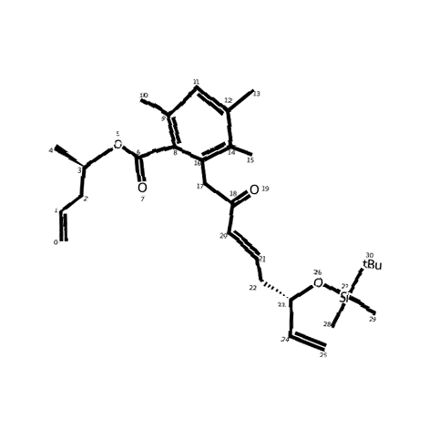 C=CC[C@@H](C)OC(=O)c1c(C)cc(C)c(C)c1CC(=O)/C=C/C[C@@H](C=C)O[Si](C)(C)C(C)(C)C